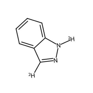 [2H]c1nn([2H])c2ccccc12